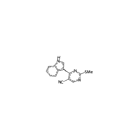 CSc1ncc(C#N)c(-c2c[nH]c3ccccc23)n1